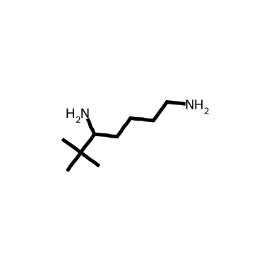 CC(C)(C)C(N)CCCCN